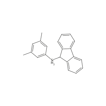 Cc1cc(C)cc([SiH2][C]2c3ccccc3-c3ccccc32)c1